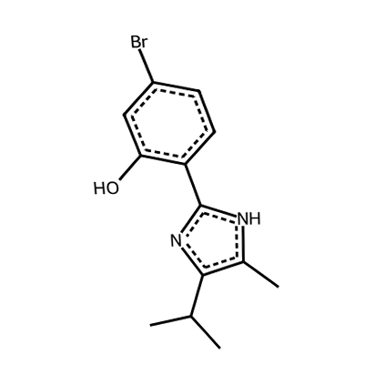 Cc1[nH]c(-c2ccc(Br)cc2O)nc1C(C)C